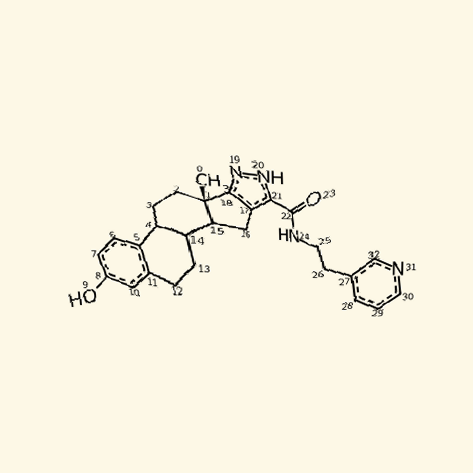 C[C@]12CCC3c4ccc(O)cc4CCC3C1Cc1c2n[nH]c1C(=O)NCCc1cccnc1